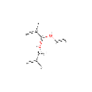 C=C(C)C(=O)O.C=COC(=O)C(=C)C